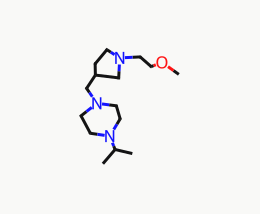 COCCN1CCC(CN2CCN(C(C)C)CC2)C1